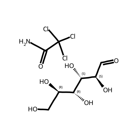 NC(=O)C(Cl)(Cl)Cl.O=C[C@@H](O)[C@@H](O)[C@H](O)[C@H](O)CO